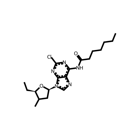 CCCCCCC(=O)Nc1nc(Cl)nc2c1ncn2[C@H]1CC(C)[C@@H](CC)O1